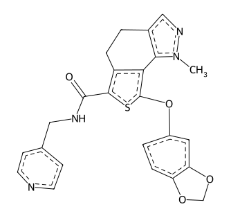 Cn1ncc2c1-c1c(Oc3ccc4c(c3)OCO4)sc(C(=O)NCc3ccncc3)c1CC2